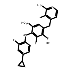 Cl.Nc1nccc(Cc2cc(C(=O)O)c(Nc3ccc(C4CC4)cc3F)c(F)c2F)c1F